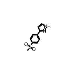 CS(=O)(=O)c1ccc(-c2cc[nH]n2)cc1